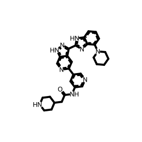 O=C(CC1CCNCC1)Nc1cncc(-c2cc3c(-c4nc5c(N6CCCCC6)cccc5[nH]4)n[nH]c3cn2)c1